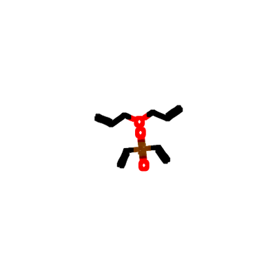 C=CCOCC=C.C=CS(=O)(=O)C=C